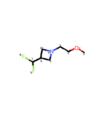 COCCN1CC(C(F)F)C1